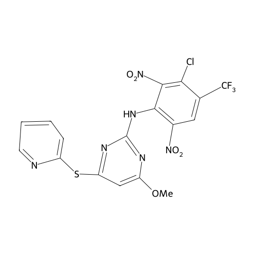 COc1cc(Sc2ccccn2)nc(Nc2c([N+](=O)[O-])cc(C(F)(F)F)c(Cl)c2[N+](=O)[O-])n1